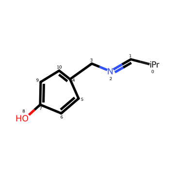 CC(C)C=NCc1ccc(O)cc1